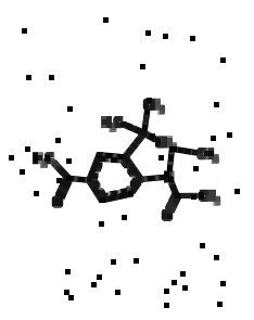 CCN(C(C)=O)c1ccc(C(C)=O)cc1C(C)(C)C